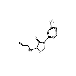 C=CCNC1OCN(c2cccc(C(F)(F)F)c2)C1=O